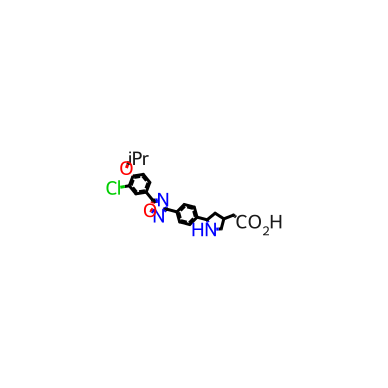 CC(C)Oc1ccc(-c2nc(-c3ccc(C4CC(CC(=O)O)CN4)cc3)no2)cc1Cl